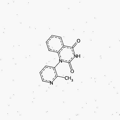 Cc1ncccc1-n1c(=O)[nH]c(=O)c2ccccc21